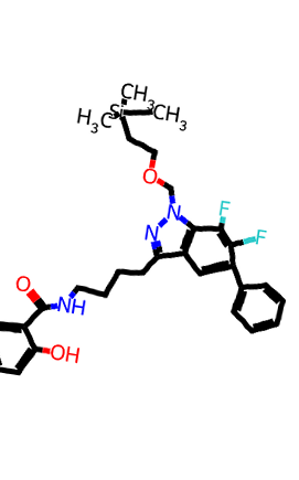 C[Si](C)(C)CCOCn1nc(CCCCNC(=O)c2ccccc2O)c2cc(-c3ccccc3)c(F)c(F)c21